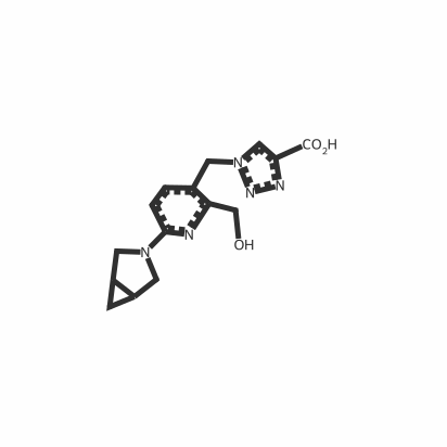 O=C(O)c1cn(Cc2ccc(N3CC4CC4C3)nc2CO)nn1